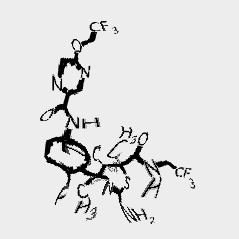 C[C@@H]1[C@@](C)(C(=O)NCC(F)(F)F)SC(N)=N[C@]1(C)c1cc(NC(=O)c2cnc(OCC(F)(F)F)cn2)ccc1F